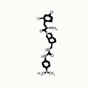 CN(C)c1ccc(NC(=O)NCc2ccc3c(c2)CN(C(=O)[C@H](N)Cc2ccc(Cl)cc2Cl)C3)cc1